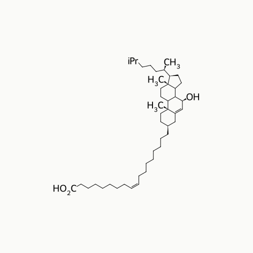 CC(C)CCC[C@@H](C)[C@H]1CCC2C3C(CC[C@@]21C)[C@@]1(C)CC[C@H](CCCCCCCC/C=C\CCCCCCCC(=O)O)CC1=C[C@@H]3O